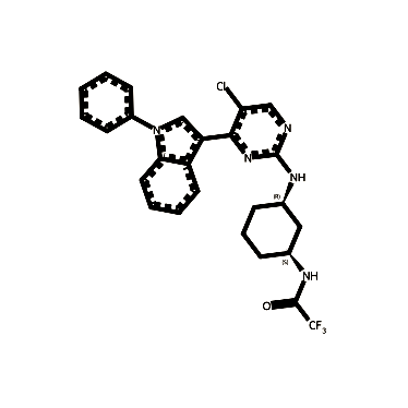 O=C(N[C@H]1CCC[C@@H](Nc2ncc(Cl)c(-c3cn(-c4ccccc4)c4ccccc34)n2)C1)C(F)(F)F